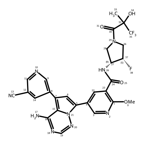 COc1ncc(-c2cc(-c3cncc(C#N)c3)c3c(N)ncnn23)cc1C(=O)N[C@@H]1CN(C(=O)C(C)(O)C(F)(F)F)C[C@@H]1F